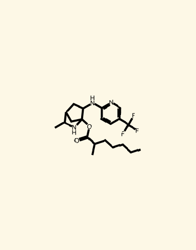 CCCCCC(C)C(=O)OC12CC(CC1Nc1ccc(C(F)(F)F)cn1)C(C)N2